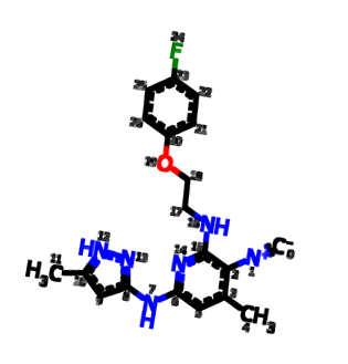 [C-]#[N+]c1c(C)cc(Nc2cc(C)[nH]n2)nc1NCCOc1ccc(F)cc1